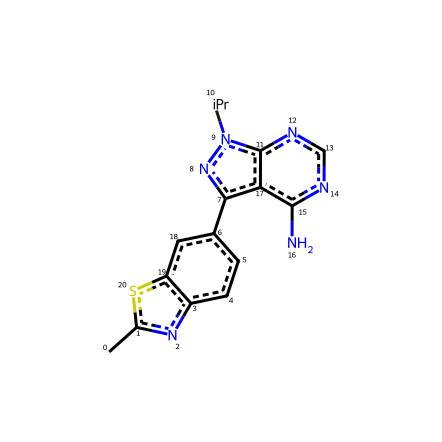 Cc1nc2ccc(-c3nn(C(C)C)c4ncnc(N)c34)cc2s1